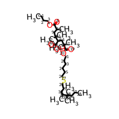 CCCCOC(=O)C(C)CC(C)(C)C(CC(C)(C)C(=O)OCCCCCCSCCCC(C)C(C)(C)CCC)C(=O)O